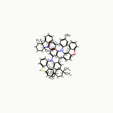 CC(C)(C)c1ccc(N2c3cc(N4c5ccccc5C5(C)CCCCC45C)cc4c3B(c3cc5c(cc3N4c3cccc4sc6ccccc6c34)C(C)(C)CCC5(C)C)c3ccc4oc5ccccc5c4c32)c(-c2ccccc2)c1